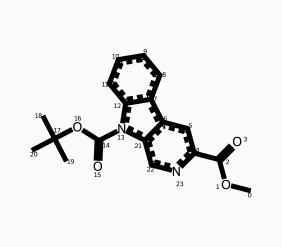 COC(=O)c1cc2c3ccccc3n(C(=O)OC(C)(C)C)c2cn1